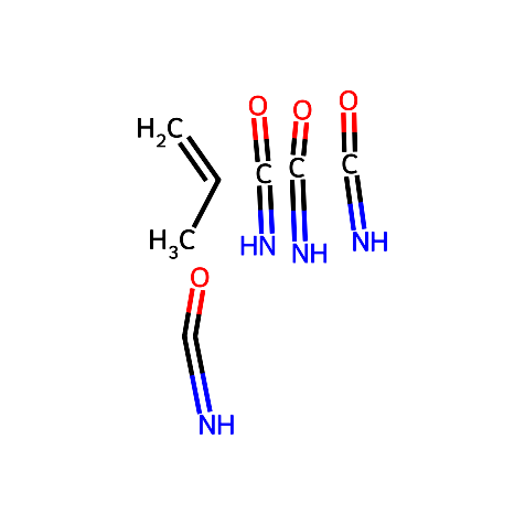 C=CC.N=C=O.N=C=O.N=C=O.N=C=O